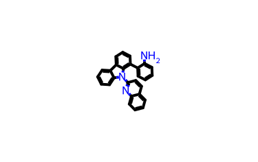 Nc1ccccc1-c1cccc2c3ccccc3n(-c3ccc4ccccc4n3)c12